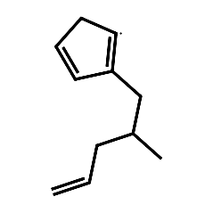 C=CCC(C)CC1=[C]CC=C1